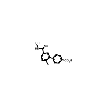 Cc1ccc(C(=N)NO)cc1-c1ccc(C(=O)O)cc1